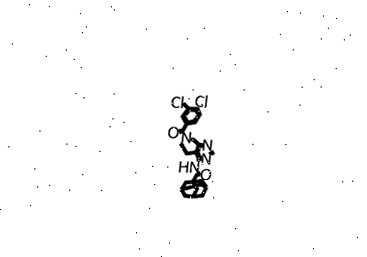 O=C(c1ccc(Cl)c(Cl)c1)N1CCc2c(ncnc2NC(=O)C23CC4CC(CC(C4)C2)C3)C1